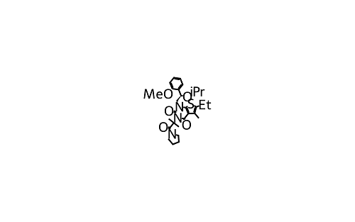 CCc1sc2c(c1C)c(=O)n(C(C)(C)C(=O)N1CCCC1)c(=O)n2C[C@H](OC(C)C)c1ccccc1OC